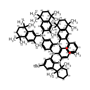 Cc1cc2c3c(c1)N1c4c(cc(C(C)(C)C)cc4C4(C)CCCCC14C)B3c1ccc(N(c3cc4c(cc3C)C(C)(C)CCC4(C)C)c3cc4c(cc3C)C(C)(C)CCC4(C)C)cc1N2c1cc2c(cc1-c1ccccc1)C(C)(C)CCC2(C)C